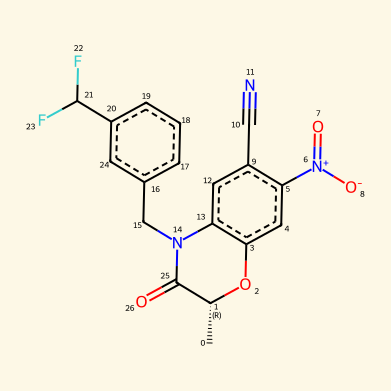 C[C@H]1Oc2cc([N+](=O)[O-])c(C#N)cc2N(Cc2cccc(C(F)F)c2)C1=O